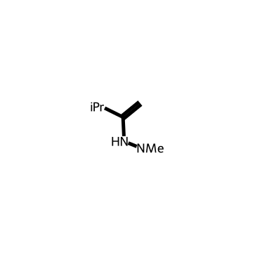 C=C(NNC)C(C)C